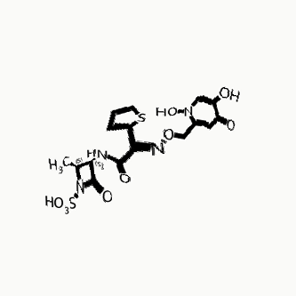 C[C@H]1[C@H](NC(=O)C(=NOCc2cc(=O)c(O)cn2O)c2cccs2)C(=O)N1S(=O)(=O)O